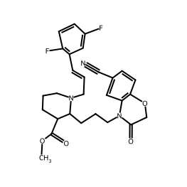 COC(=O)C1CCCN(C/C=C/c2cc(F)ccc2F)C1CCCN1C(=O)COc2ccc(C#N)cc21